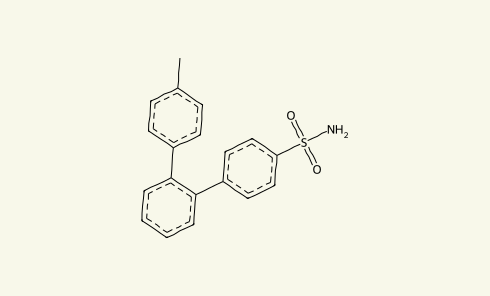 Cc1ccc(-c2ccccc2-c2ccc(S(N)(=O)=O)cc2)cc1